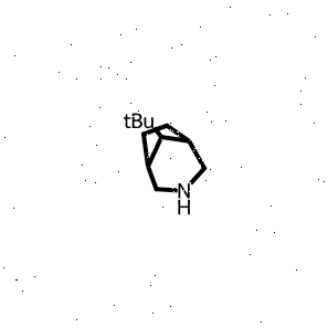 CC(C)(C)C1C2CCC1CNC2